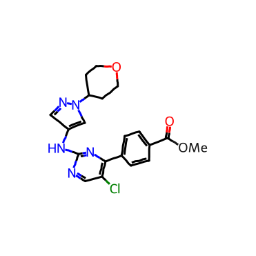 COC(=O)c1ccc(-c2nc(Nc3cnn(C4CCOCC4)c3)ncc2Cl)cc1